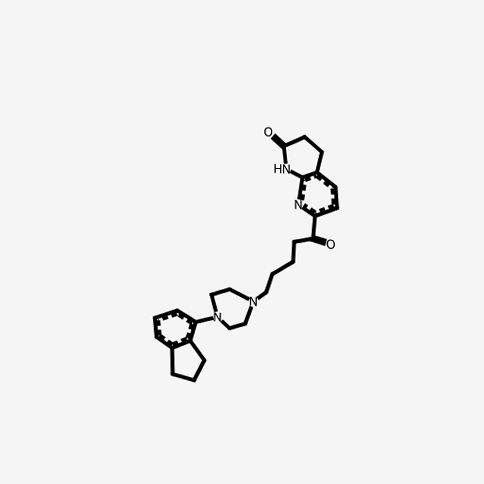 O=C1CCc2ccc(C(=O)CCCCN3CCN(c4cccc5c4CCC5)CC3)nc2N1